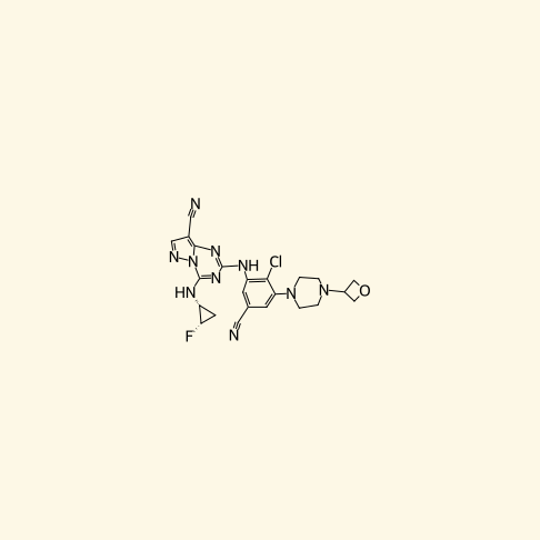 N#Cc1cc(Nc2nc(N[C@@H]3C[C@@H]3F)n3ncc(C#N)c3n2)c(Cl)c(N2CCN(C3COC3)CC2)c1